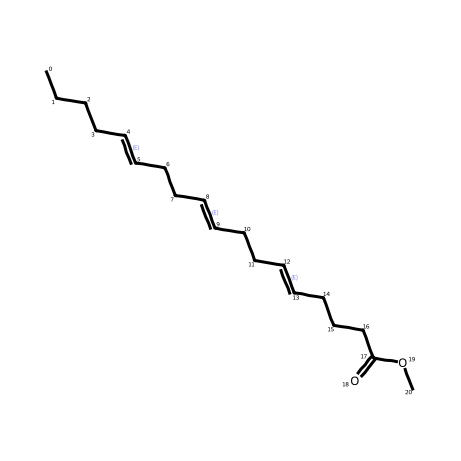 CCCC/C=C/CC/C=C/CC/C=C/CCCC(=O)OC